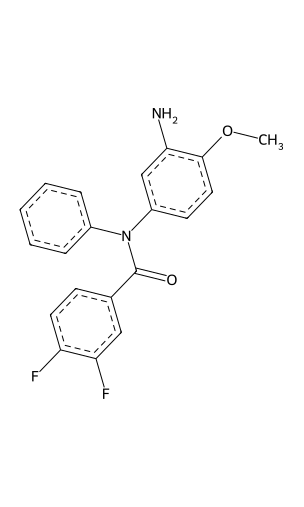 COc1ccc(N(C(=O)c2ccc(F)c(F)c2)c2ccccc2)cc1N